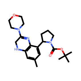 Cc1cc2c(c(C3CCCN3C(=O)OC(C)(C)C)c1)N=C(N1CCOCC1)CN2